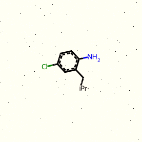 C[C](C)Cc1cc(Cl)ccc1N